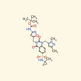 Cc1cc(Cn2c(=O)n(Cc3cc(NC(=O)OC(C)(C)C)no3)c(=O)c3cc(S(=O)(=O)NC4(C)CC4)ccc32)n(C)n1